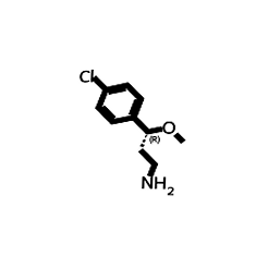 CO[C@H](CCN)c1ccc(Cl)cc1